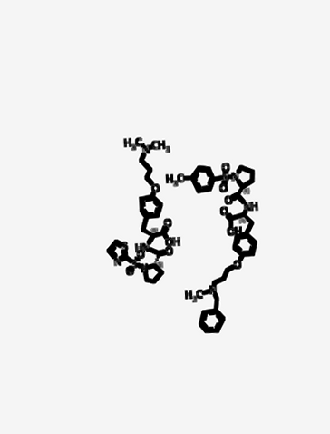 CN(C)CCCOc1ccc(C[C@H](NC(=O)[C@@H]2CCCN2S(=O)(=O)c2nccs2)C(=O)O)cc1.Cc1ccc(S(=O)(=O)N2CCC[C@H]2C(=O)N[C@@H](Cc2ccc(OCCCN(C)Cc3ccccc3)cc2)C(=O)O)cc1